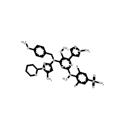 COc1ccc(CN(c2cc(C)n(C3CCCCO3)n2)c2nc(N(C)c3c(F)cc(S(C)(=O)=O)cc3F)nc(-c3cnn(C)c3)c2OC)cc1